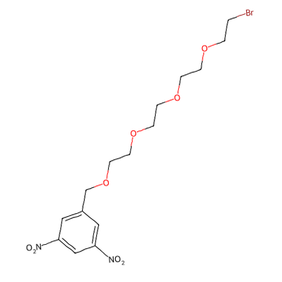 O=[N+]([O-])c1cc(COCCOCCOCCOCCBr)cc([N+](=O)[O-])c1